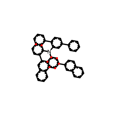 c1ccc(-c2ccc(-c3ccccc3)c(N(c3cccc(-c4ccc5ccccc5c4)c3)c3ccccc3-c3cc4ccccc4c4ccccc34)c2)cc1